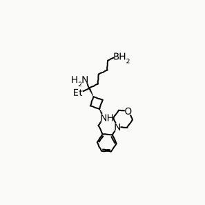 BCCCCC(N)(CC)[C@H]1C[C@@H](NCc2ccccc2N2CCOCC2)C1